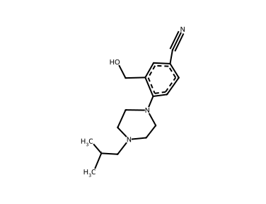 C[C](C)CN1CCN(c2ccc(C#N)cc2CO)CC1